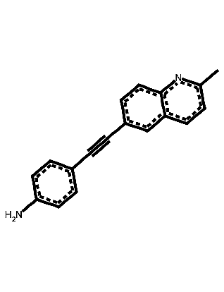 Cc1ccc2cc(C#Cc3ccc(N)cc3)ccc2n1